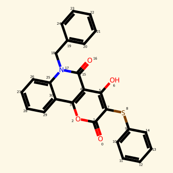 O=c1oc2c(c(O)c1Sc1ccccc1)c(=O)n(Cc1ccccc1)c1ccccc21